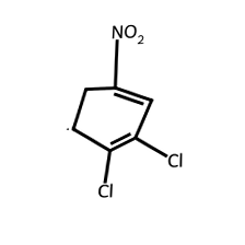 O=[N+]([O-])C1=CC(Cl)=C(Cl)[CH]C1